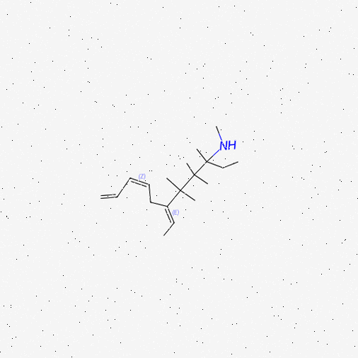 C=C/C=C\C/C(=C\C)C(C)(C)C(C)(C)C(C)(CC)NC